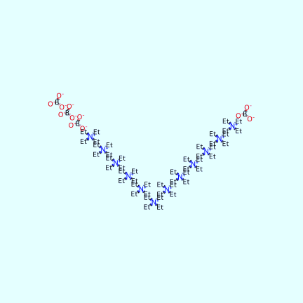 CC[N+](CC)(CC)CC.CC[N+](CC)(CC)CC.CC[N+](CC)(CC)CC.CC[N+](CC)(CC)CC.CC[N+](CC)(CC)CC.CC[N+](CC)(CC)CC.CC[N+](CC)(CC)CC.CC[N+](CC)(CC)CC.CC[N+](CC)(CC)CC.CC[N+](CC)(CC)CC.CC[N+](CC)(CC)CC.CC[N+](CC)(CC)CC.[O-]B([O-])[O-].[O-]B([O-])[O-].[O-]B([O-])[O-].[O-]B([O-])[O-]